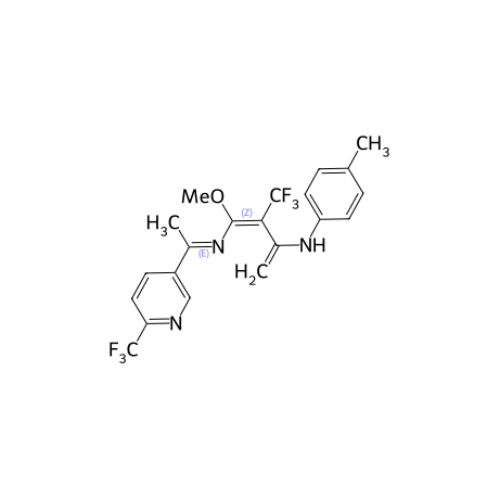 C=C(Nc1ccc(C)cc1)/C(=C(\N=C(/C)c1ccc(C(F)(F)F)nc1)OC)C(F)(F)F